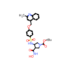 Cc1cc(COc2ccc(S(=O)(=O)NC3CN(C(=O)OC(C)(C)C)CC3C(=O)NO)cc2)c2ccccc2n1